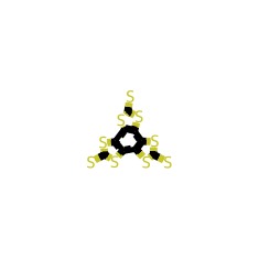 S=c1sc2c3sc(=S)sc3c3sc(=S)sc3c2s1